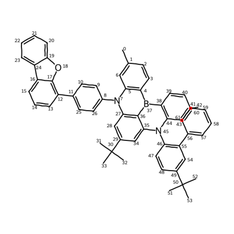 Cc1ccc2c(c1)N(c1ccc(-c3cccc4c3oc3ccccc34)cc1)c1cc(C(C)(C)C)cc3c1B2c1ccc(C)cc1N3c1ccc(C(C)(C)C)cc1-c1ccccc1